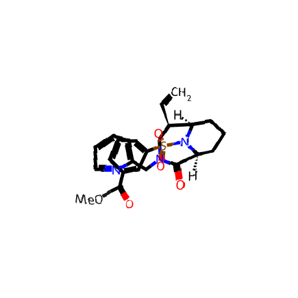 C=C[C@@H]1CN(Cc2ccccn2)C(=O)[C@@H]2CCC[C@H]1N2S(=O)(=O)c1cccc(C(=O)OC)c1